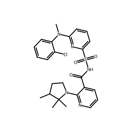 CC1CCN(c2ncccc2C(=O)NS(=O)(=O)c2cccc(N(C)c3ccccc3Cl)n2)C1(C)C